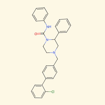 O=C(Nc1ccccc1)N1CCN(Cc2ccc(-c3ccccc3Cl)cc2)CC1c1ccccc1